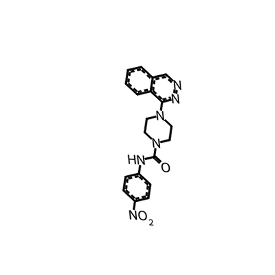 O=C(Nc1ccc([N+](=O)[O-])cc1)N1CCN(c2nncc3ccccc23)CC1